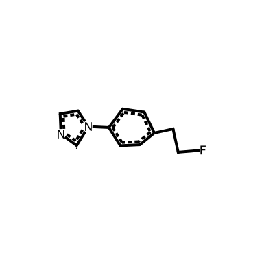 FCCc1ccc(-n2[c]ncc2)cc1